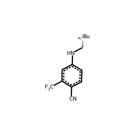 CC[C@@H](C)CNc1ccc(C#N)c(C(F)(F)F)c1